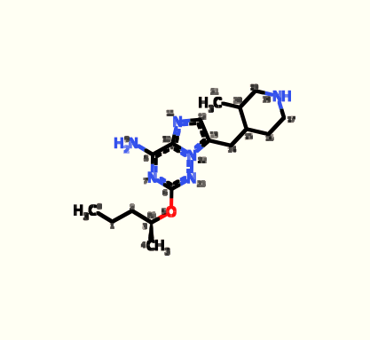 CCC[C@H](C)Oc1nc(N)c2ncc(CC3CCNCC3C)n2n1